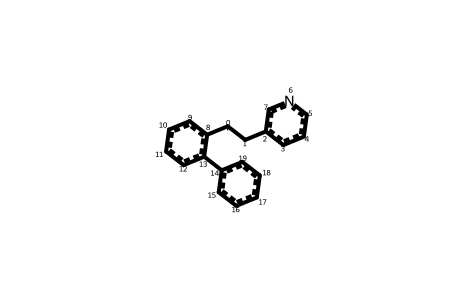 [CH](Cc1cccnc1)c1ccccc1-c1ccccc1